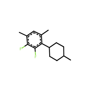 Cc1cc(C)c(C2CCC(C)CC2)c(F)c1F